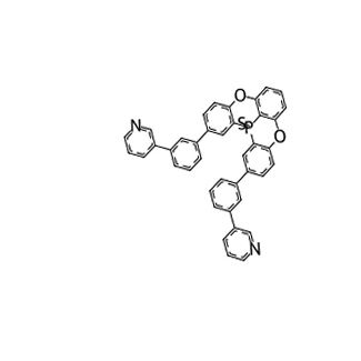 S=P12c3cc(-c4cccc(-c5cccnc5)c4)ccc3Oc3cccc(c31)Oc1ccc(-c3cccc(-c4cccnc4)c3)cc12